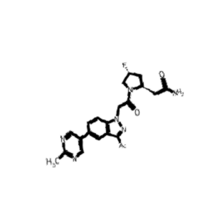 CC(=O)c1nn(CC(=O)N2C[C@H](F)C[C@H]2CC(N)=O)c2ccc(-c3cnc(C)nc3)cc12